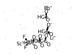 FOF.[Li+].[O]=[GeH][O-].[O]=[GeH][O-].[O]=[GeH][O-].[O]=[GeH][O-].[O]=[GeH][O-].[Rb+].[Sc+3]